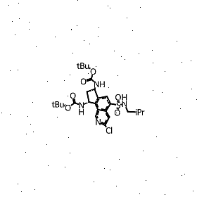 CC(C)CNS(=O)(=O)c1cc2c(c3cnc(Cl)cc13)[C@@H](NC(=O)OC(C)(C)C)C[C@H]2NC(=O)OC(C)(C)C